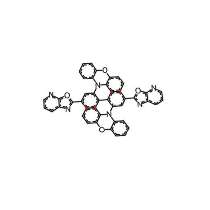 c1ccc2c(c1)Oc1ccccc1N2c1cc(-c2nc3cccnc3o2)ccc1-c1ccc(-c2nc3cccnc3o2)cc1N1c2ccccc2Oc2ccccc21